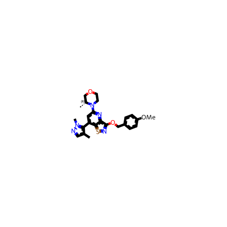 COc1ccc(COc2nsc3c(-c4c(C)cnn4C)cc(N4CCOC[C@H]4C)nc23)cc1